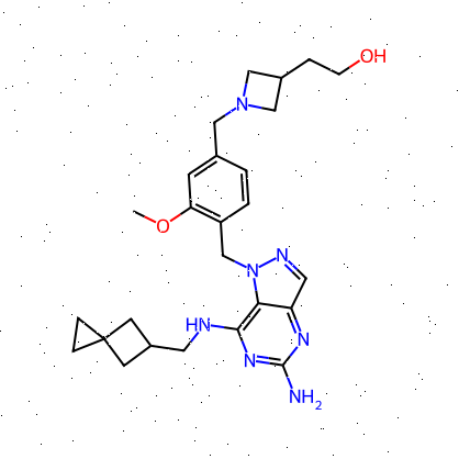 COc1cc(CN2CC(CCO)C2)ccc1Cn1ncc2nc(N)nc(NCC3CC4(CC4)C3)c21